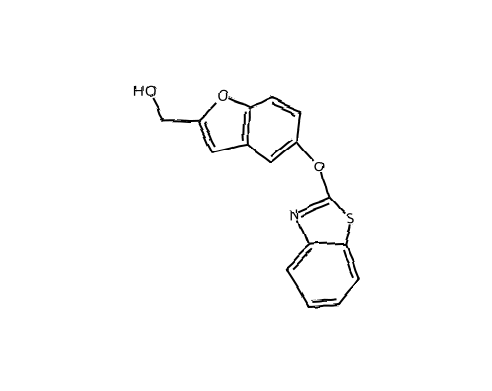 OCc1cc2cc(Oc3nc4ccccc4s3)ccc2o1